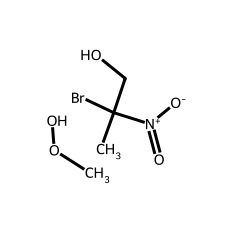 CC(Br)(CO)[N+](=O)[O-].COO